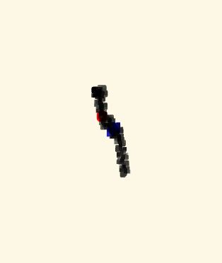 CCCCCCCCCCCCc1cnc(-c2ccc(OCCCCCC[Si](C)(C)C)cc2)nc1